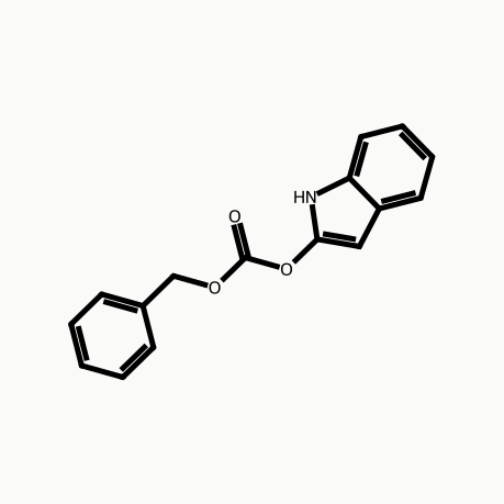 O=C(OCc1ccccc1)Oc1cc2ccccc2[nH]1